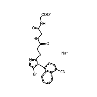 N#Cc1ccc(-n2c(Br)cnc2SCC(=O)NCC(=O)NCC(=O)[O-])c2ccccc12.[Na+]